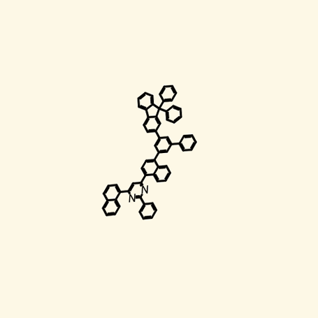 c1ccc(-c2cc(-c3ccc4c(c3)C(c3ccccc3)(c3ccccc3)c3ccccc3-4)cc(-c3ccc(-c4cc(-c5cccc6ccccc56)nc(-c5ccccc5)n4)c4ccccc34)c2)cc1